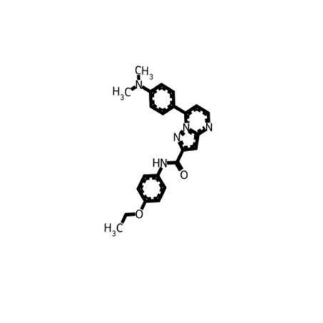 CCOc1ccc(NC(=O)c2cc3nccc(-c4ccc(N(C)C)cc4)n3n2)cc1